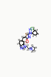 O=C1N=C(Nc2ccccc2Cl)SC1=Cc1ccc2ncn(CCN3CCCC3)c2c1